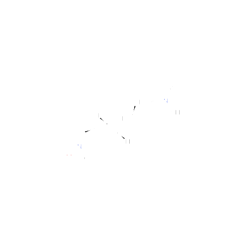 CN(C)C(=O)C1CC[C@H]2[C@@H]3CCC4[C@](C)(CCC[N+]4(C)[O-])[C@@H]3CC[C@]12C